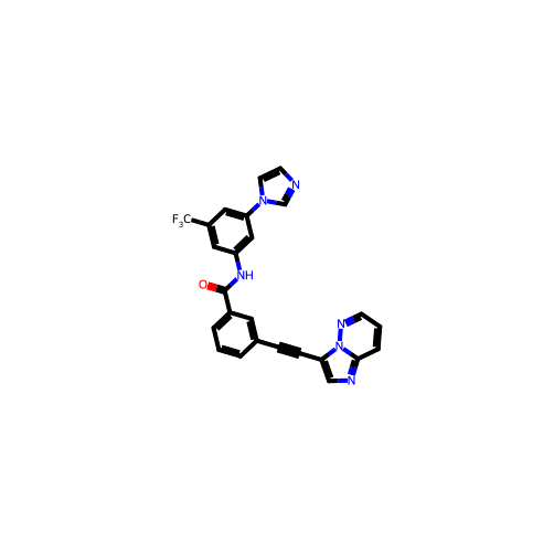 O=C(Nc1cc(-n2ccnc2)cc(C(F)(F)F)c1)c1cccc(C#Cc2cnc3cccnn23)c1